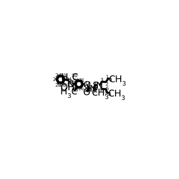 CCCCN(CCCC)SN(C)C(=O)Oc1cc(C)c(N=Cc2ccccc2O)c(C)c1